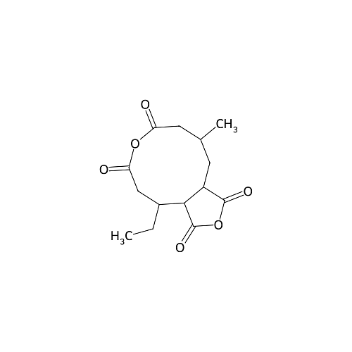 CCC1CC(=O)OC(=O)CC(C)CC2C(=O)OC(=O)C12